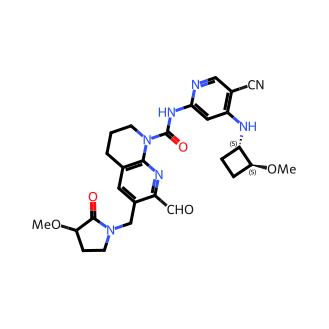 COC1CCN(Cc2cc3c(nc2C=O)N(C(=O)Nc2cc(N[C@H]4CC[C@@H]4OC)c(C#N)cn2)CCC3)C1=O